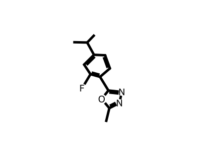 Cc1nnc(-c2ccc(C(C)C)cc2F)o1